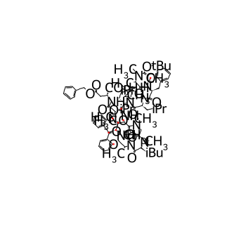 CC[C@H](C)[C@@H](C(=O)N[C@@H](C)C(=O)N(C)[C@@H](Cc1ccccc1)C(=O)N(C)[C@H](C(=O)N[C@@H](CC(=O)OCc1ccccc1)C(=O)O)C(C)C)N(C)C(=O)CN(C)C(=O)[C@@H](NC(=O)[C@H](CC(C)C)N(C)C(=O)[C@H](CC(C)C)NC(=O)[C@H](Cc1ccccc1)N(C)C(=O)[C@H](C)N(C)C(=O)OC(C)(C)C)[C@@H](C)OCc1ccccc1